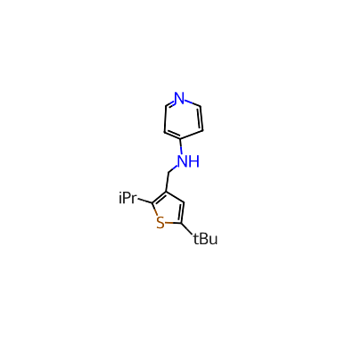 CC(C)c1sc(C(C)(C)C)cc1CNc1ccncc1